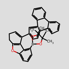 CC1(C)OB(c2cccc3oc4c(c23)C(c2ccc3c5ccccc5c5ccccc5c3c2)=CCC4)OC1(C)C